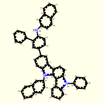 c1ccc(-c2cc(-c3ccc4c(c3)c3ccc5c(c6ccccc6n5-c5ccccc5)c3n4-c3ccc4ccccc4c3)ccc2Nc2ccc3ccccc3c2)cc1